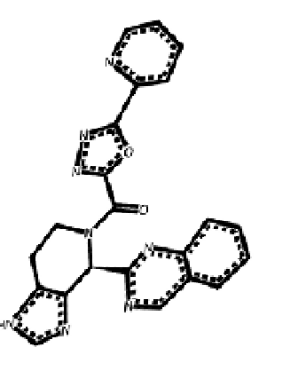 O=C(c1nnc(-c2ccccn2)o1)N1CCc2[nH]cnc2[C@@H]1c1ncc2ccccc2n1